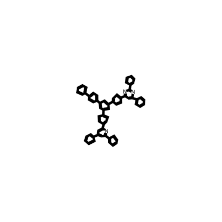 c1ccc(-c2ccc(-c3cc(-c4ccc(-c5cc(-c6ccccc6)cc(-c6ccccc6)n5)cc4)cc(-c4ccc(-c5cc(-c6ccccc6)nc(-c6ccccc6)n5)cc4)c3)cc2)cc1